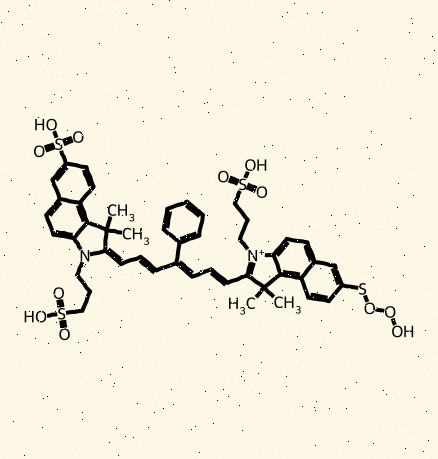 CC1(C)C(=CC=CC(=CC=CC2=[N+](CCCS(=O)(=O)O)c3ccc4cc(SOOO)ccc4c3C2(C)C)c2ccccc2)N(CCCS(=O)(=O)O)c2ccc3cc(S(=O)(=O)O)ccc3c21